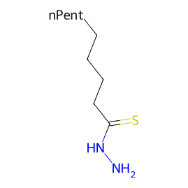 CCCCCCCCCC(=S)NN